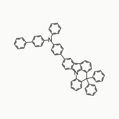 c1ccc(-c2ccc(N(c3ccccc3)c3ccc(-c4ccc5c(c4)c4cccc6c4n5-c4ccccc4C6(c4ccccc4)c4ccccc4)cc3)cc2)cc1